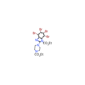 CCOC(=O)N1CCN(c2nc3c(Br)c(Br)c(Br)c(Br)c3n2C(=O)OCC)CC1